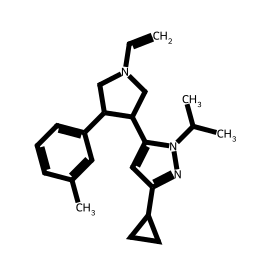 C=CN1CC(c2cccc(C)c2)C(c2cc(C3CC3)nn2C(C)C)C1